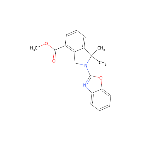 COC(=O)c1cccc2c1CN(c1nc3ccccc3o1)C2(C)C